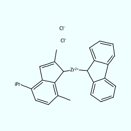 CC1=Cc2c(C(C)C)ccc(C)c2[CH]1[Zr+2][CH]1c2ccccc2-c2ccccc21.[Cl-].[Cl-]